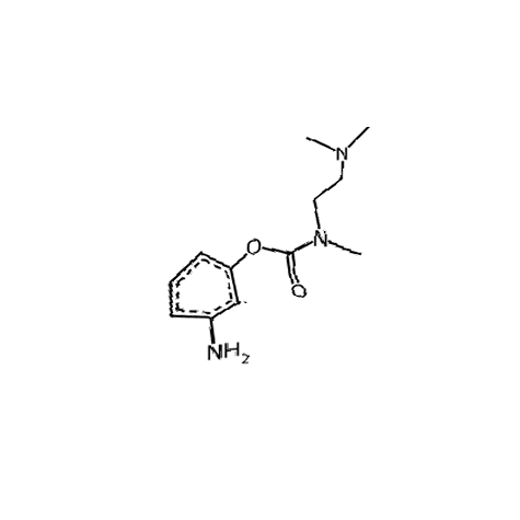 CN(C)CCN(C)C(=O)Oc1[c]c(N)ccc1